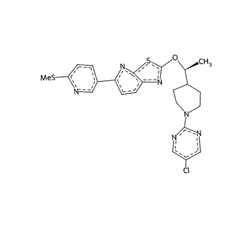 CSc1ccc(-c2ccc3nc(O[C@@H](C)C4CCN(c5ncc(Cl)cn5)CC4)sc3n2)cn1